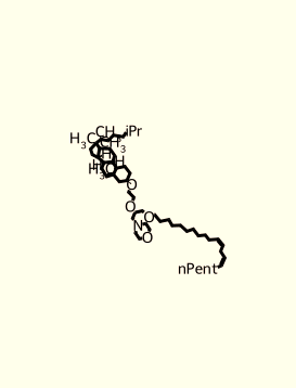 CCCCC/C=C\C/C=C\CCCCCCCCCCOCC(CN1CCOCC1)OCCO[C@H]1CC[C@@]2(C)C(=CC[C@@H]3[C@@H]2CC[C@@]2(C)[C@H]3CC[C@]2(C)[C@H](C)CCCC(C)C)C1